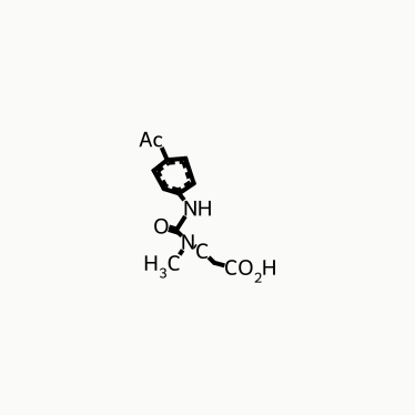 CC(=O)c1ccc(NC(=O)N(C)CCC(=O)O)cc1